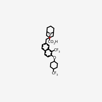 O=C(O)C1CC2CCCC(C1)N2CCc1ccc2ccc(OC3CCC(C(F)(F)F)CC3)c(C(F)(F)F)c2c1